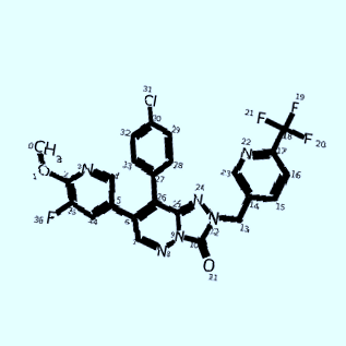 COc1ncc(-c2cnn3c(=O)n(Cc4ccc(C(F)(F)F)nc4)nc3c2-c2ccc(Cl)cc2)cc1F